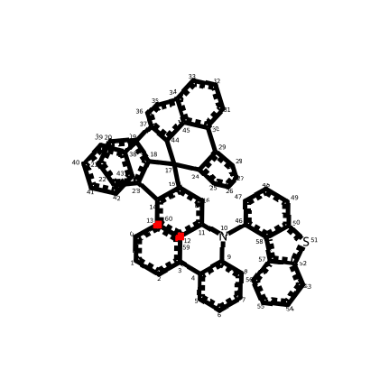 c1ccc(-c2ccccc2N(c2ccc3c(c2)C2(c4ccccc4-3)c3ccccc3-c3cccc4ccc(-c5ccccc5)c2c34)c2cccc3sc4ccccc4c23)cc1